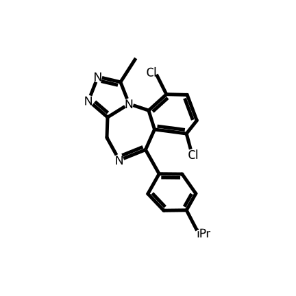 Cc1nnc2n1-c1c(Cl)ccc(Cl)c1C(c1ccc(C(C)C)cc1)=NC2